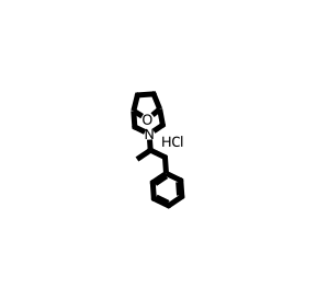 CC(Cc1ccccc1)N1CC2CCC(C1)O2.Cl